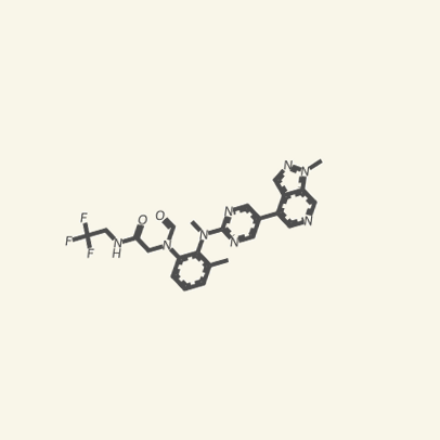 Cc1cccc(N(C=O)CC(=O)NCC(F)(F)F)c1N(C)c1ncc(-c2cncc3c2cnn3C)cn1